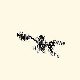 COc1ccc2c(O[C@@H]3C[C@@H](C(N)=O)N(C(=O)[C@H](CCCCC/C=C\[C@@H]4C[C@@H]4C(=O)NS(=O)(=O)C4CC4)NC(=O)c4ccn(C)n4)C3)cc(OCC(F)(F)F)nc2c1C